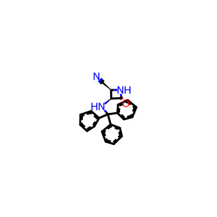 N#C[C@H]1NC(=O)[C@H]1NC(c1ccccc1)(c1ccccc1)c1ccccc1